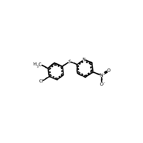 Cc1cc(Sc2ccc([N+](=O)[O-])cn2)ccc1Cl